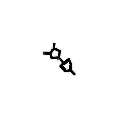 Cc1ccc([C@H]2CC(=O)N(C)C2)cc1